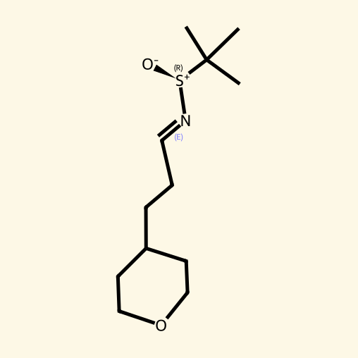 CC(C)(C)[S@+]([O-])/N=C/CCC1CCOCC1